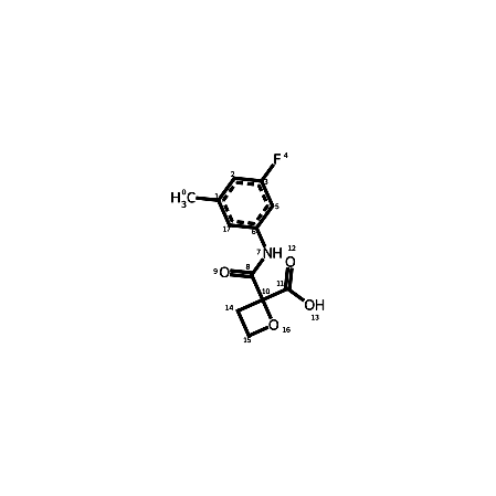 Cc1cc(F)cc(NC(=O)C2(C(=O)O)CCO2)c1